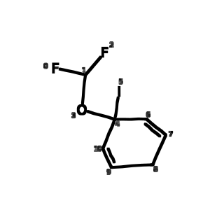 FC(F)OC1(I)C=CCC=C1